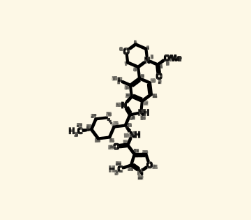 COC(=O)N1CCOCC1c1ccc2[nH]c([C@@H](NC(=O)c3conc3C)[C@H]3CC[C@H](C)CC3)nc2c1F